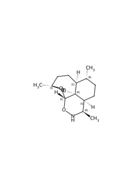 C[C@@H]1CC[C@H]2[C@@H](C)NO[C@@H]3O[C@]4(C)CC[C@@H]1[C@]32OO4